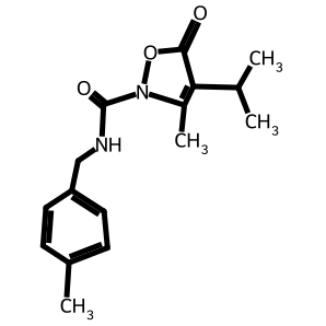 Cc1ccc(CNC(=O)n2oc(=O)c(C(C)C)c2C)cc1